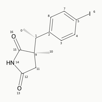 C[C@H](c1ccc(I)cc1)[C@@]1(C)CC(=O)NC1=O